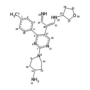 Cc1ccc(-c2nc(N3CCC(N)CC3)ncc2/C(C=N)=C/NC2CCOC2)cc1